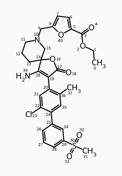 CCOC(=O)c1ccc(CN2CCCC3(C2)OC(=O)C(c2cc(Cl)c(-c4cccc(S(C)(=O)=O)c4)cc2C)=C3N)o1